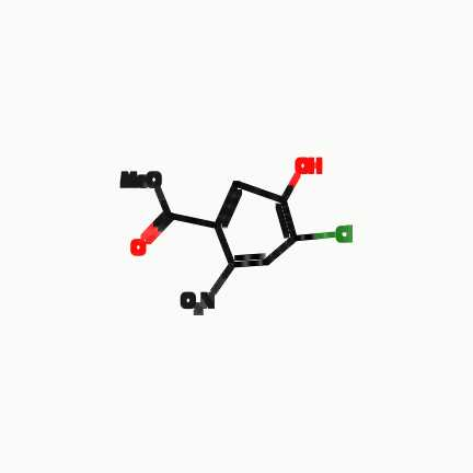 COC(=O)c1cc(O)c(Cl)cc1[N+](=O)[O-]